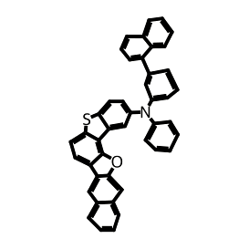 c1ccc(N(c2cccc(-c3cccc4ccccc34)c2)c2ccc3sc4ccc5c6cc7ccccc7cc6oc5c4c3c2)cc1